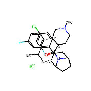 CCC(NC(C)=O)c1cc(Cl)ccc1C1CC2CCC(C1)N2C(=O)[C@@H]1CCN(C(C)(C)C)C[C@H]1c1ccc(F)cc1F.Cl